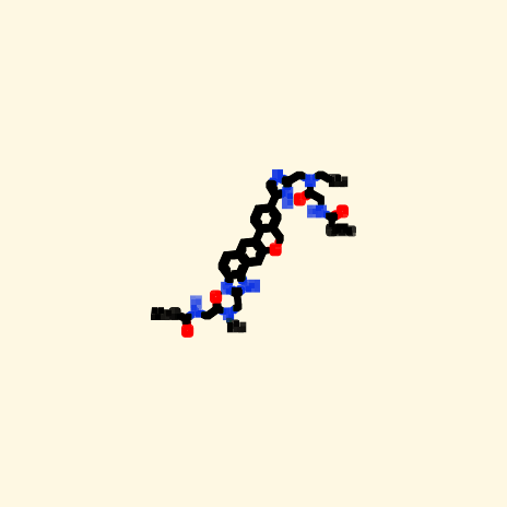 CCC(C)CN(Cc1ncc(-c2ccc3c(c2)COc2cc4c(ccc5nc(CN(C(=O)CNC(=O)OC)[C@@H](C)CC)[nH]c54)cc2-3)[nH]1)C(=O)CNC(=O)OC